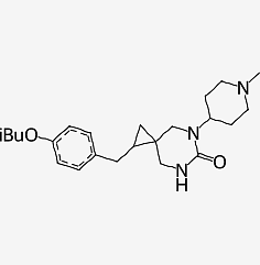 CC(C)COc1ccc(CC2CC23CNC(=O)N(C2CCN(C)CC2)C3)cc1